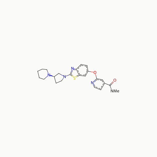 CNC(=O)c1ccnc(Oc2ccc3nc(N4CC[C@@H](N5CCCCC5)C4)sc3c2)c1